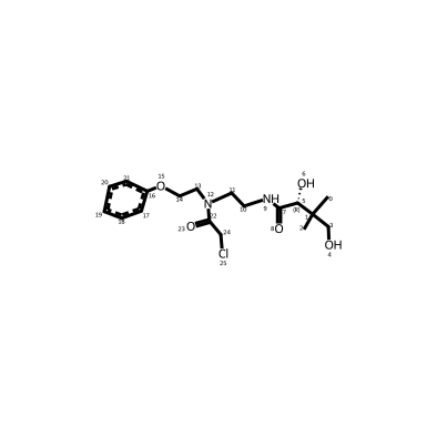 CC(C)(CO)[C@@H](O)C(=O)NCCN(CCOc1ccccc1)C(=O)CCl